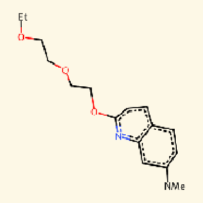 CCOCCOCCOc1ccc2ccc(NC)cc2n1